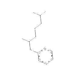 CC(C)CCCC(C)Cc1ccccc1